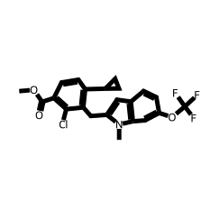 COC(=O)c1ccc(C2CC2)c(Cc2cc3ccc(OC(F)(F)F)cc3n2C)c1Cl